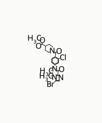 COC(=O)C1CCN(C(=O)c2ccc(N(C)C(=O)c3ncc(Br)n3C)cc2Cl)CC1